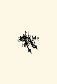 COc1cc(C(=O)NC2CCN(C)CC2)ccc1Nc1ncc2c(n1)N(CCC(=O)NCCCN(C)C)CCC(=O)N2C